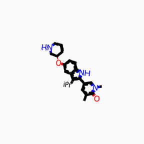 Cc1cc(-c2[nH]c3ccc(O[C@H]4CCCNC4)cc3c2C(C)C)cn(C)c1=O